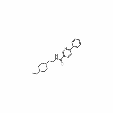 CCC1CCN(CCNC(=O)c2ccc(-c3ccccc3)nc2)CC1